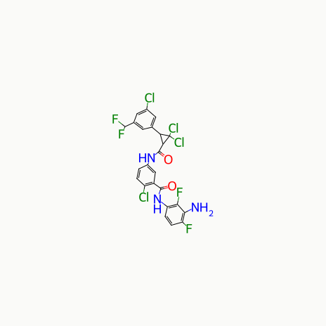 Nc1c(F)ccc(NC(=O)c2cc(NC(=O)C3C(c4cc(Cl)cc(C(F)F)c4)C3(Cl)Cl)ccc2Cl)c1F